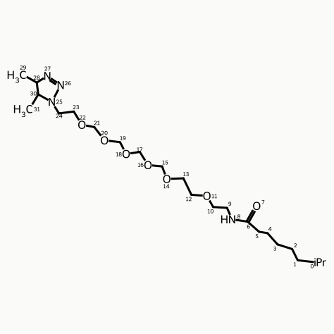 CC(C)CCCCCC(=O)NCCOCCOCOCOCOCOCCN1N=NC(C)C1C